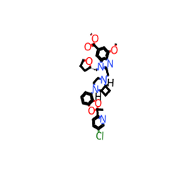 COC(=O)c1cc(OC)c2nc(CN3CCN(c4cccc5c4OC(C)(c4ccc(Cl)cn4)O5)[C@H]4CC[C@H]43)n(C[C@@H]3CCCO3)c2c1